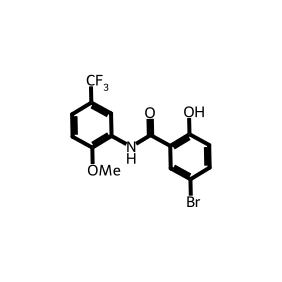 COc1ccc(C(F)(F)F)cc1NC(=O)c1cc(Br)ccc1O